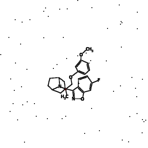 COc1[c]ccc(OCC(C)N2C3CCC2CC(c2noc4cc(F)ccc24)C3)c1